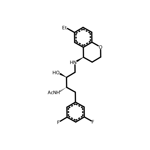 CCc1ccc2c(c1)[C@H](NC[C@H](O)[C@H](Cc1cc(F)cc(F)c1)NC(C)=O)CCO2